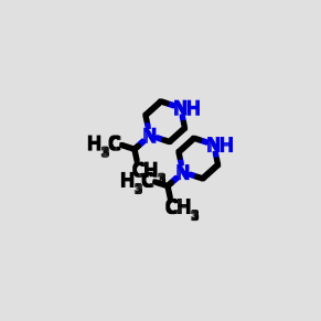 CC(C)N1CCNCC1.CC(C)N1CCNCC1